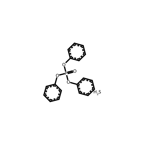 O=P(Oc1ccccc1)(Oc1ccccc1)Oc1ccccc1.S